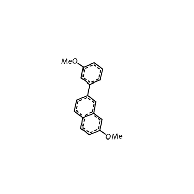 COc1cccc(-c2ccc3ccc(OC)cc3c2)c1